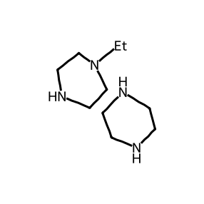 C1CNCCN1.CCN1CCNCC1